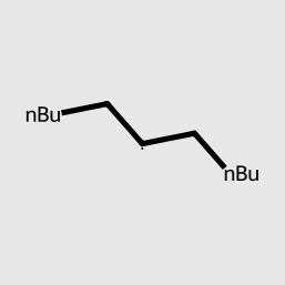 [CH2]CCCC[CH]CCCC[CH2]